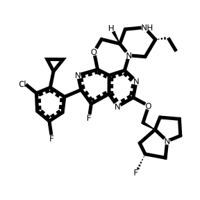 CC[C@@H]1CN2c3nc(OC[C@@]45CCCN4C[C@H](F)C5)nc4c(F)c(-c5cc(F)cc(Cl)c5C5CC5)nc(c34)OC[C@@H]2CN1